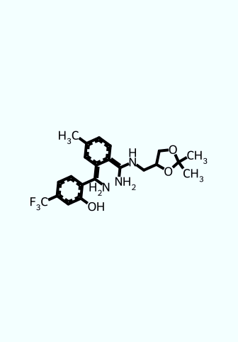 Cc1ccc(=C(/N)NCC2COC(C)(C)O2)/c(=C(\N)c2ccc(C(F)(F)F)cc2O)c1